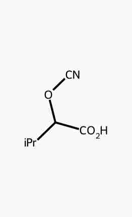 CC(C)C(OC#N)C(=O)O